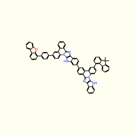 CC1(C)c2ccccc2-c2c(-c3ccc4c(c3)c3cc(-c5ccc6c(c5)[nH]c5c6nc6c7ccccc7c7cc(-c8ccc(-c9cccc%10c9oc9ccccc9%10)cc8)ccc7n65)ccc3c3nc5c6ccccc6[nH]c5n43)cccc21